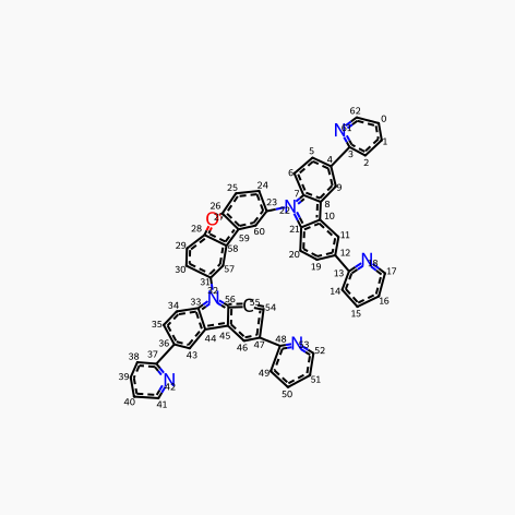 c1ccc(-c2ccc3c(c2)c2cc(-c4ccccn4)ccc2n3-c2ccc3oc4ccc(-n5c6ccc(-c7ccccn7)cc6c6cc(-c7ccccn7)ccc65)cc4c3c2)nc1